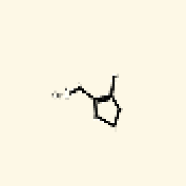 CC1=C(CC=O)CCC1